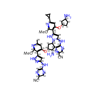 COc1nc(C2CC2)cc(O[C@@H]2CC[C@H](N)C2)c1-c1cc(Nc2cnc(C#N)cn2)[n+](C2C[C@H](N)[C@H](Oc3cc(C)nc(OC)c3-c3cc(Nc4cnc(C#N)cn4)n[nH]3)C2)[nH]1